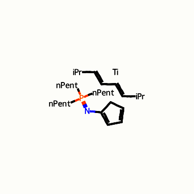 CC(C)C=CC=CC(C)C.CCCCCP(CCCCC)(CCCCC)=NC1=CC=CC1.[Ti]